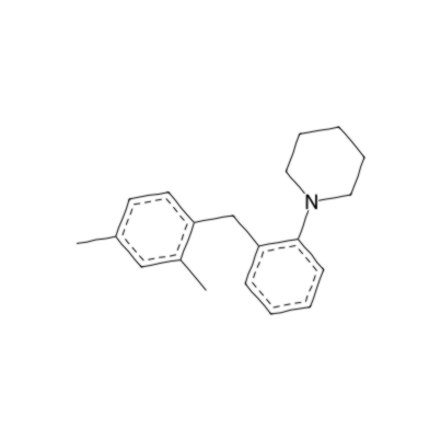 Cc1ccc(Cc2ccccc2N2CCCCC2)c(C)c1